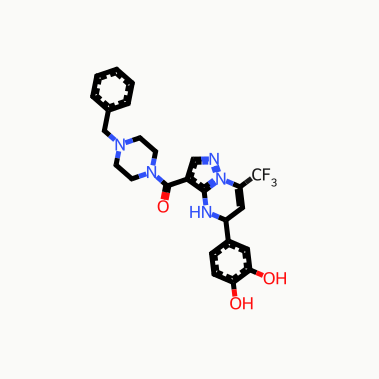 O=C(c1cnn2c1NC(c1ccc(O)c(O)c1)C=C2C(F)(F)F)N1CCN(Cc2ccccc2)CC1